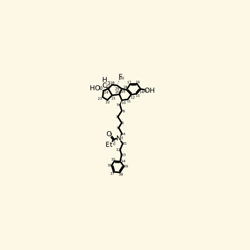 CCC(=O)N(CCCCCC[C@@H]1Cc2cc(O)ccc2C2C1C1CC[C@H](O)[C@@]1(C)C[C@@H]2F)CCCc1ccccc1